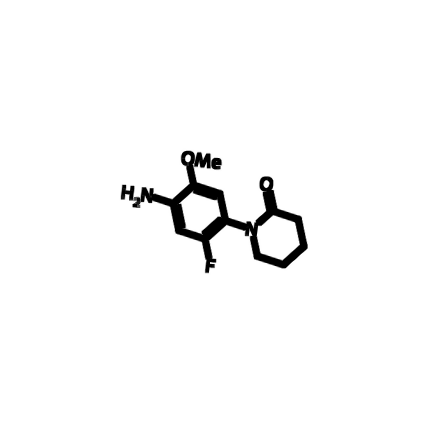 COc1cc(N2CCCCC2=O)c(F)cc1N